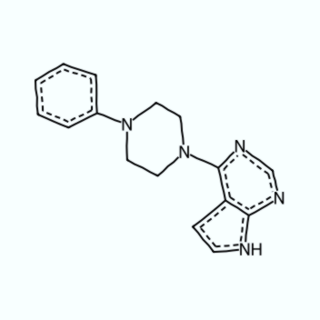 c1ccc(N2CCN(c3ncnc4[nH]ccc34)CC2)cc1